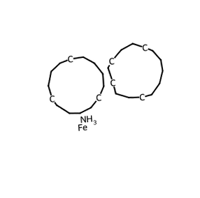 C1CCCCCCCCCCCCC1.C1CCCCCCCCCCCCC1.N.[Fe]